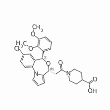 COc1cccc([C@H]2O[C@H](CC(=O)N3CCC(C(=O)O)CC3)c3cccn3-c3ccc(Cl)cc32)c1OC